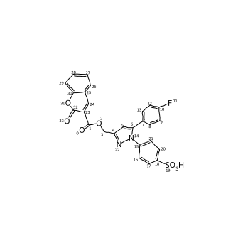 O=C(OCc1cc(-c2ccc(F)cc2)n(-c2ccc(S(=O)(=O)O)cc2)n1)c1cc2ccccc2oc1=O